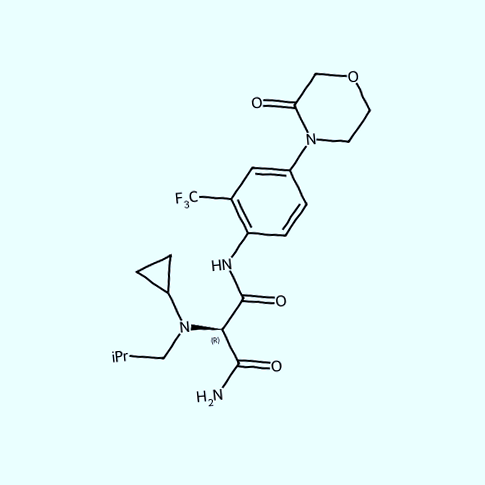 CC(C)CN(C1CC1)[C@H](C(N)=O)C(=O)Nc1ccc(N2CCOCC2=O)cc1C(F)(F)F